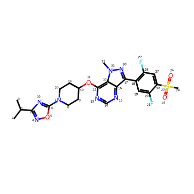 CC(C)c1noc(N2CCC(Oc3ncnc4c(-c5cc(F)c(S(C)(=O)=O)cc5F)nn(C)c34)CC2)n1